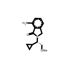 COC[C@H](C1CC1)N1Cc2cccc(N)c2C1=O